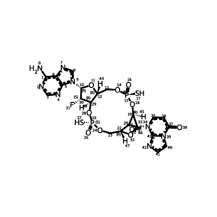 Nc1ncnc2c1ncn2[C@@H]1O[C@@H]2CO[P@@](=O)(S)O[C@@H]3[C@H](O)[C@@H](CO[P@](=O)(S)O[C@H]2[C@@H]1F)O[C@H]3n1ccc(=O)n2ccnc12